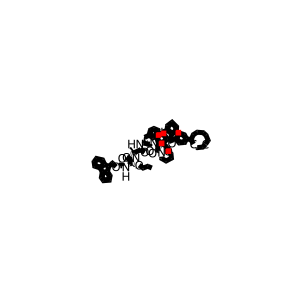 CCCOC[C@H](NC(=O)OCC1c2ccccc2-c2ccccc21)C(=O)N(C)[C@@H](C)C(=O)N[C@@H](Cc1ccccc1)C(=O)N[C@@H](CC(=O)OC(c1ccccc1)(c1ccc(C2CCCCCCCCC2)cc1)c1ccccc1Cl)C(=O)N1CCCCC1